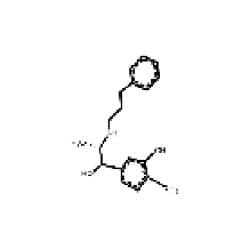 Cc1ccc([C@@H](O)[C@H](C)NCCCc2ccccc2)cc1O